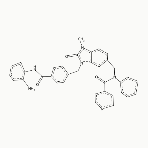 Cn1c(=O)n(Cc2ccc(C(=O)Nc3ccccc3N)cc2)c2cc(CN(C(=O)c3ccncc3)c3ccccc3)ccc21